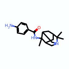 CC1(NC(=O)c2ccc(N)cc2)C2CC3CC1CN(C2)C3(C)C